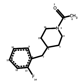 CC(=O)N1CCC(Cc2ccccc2F)CC1